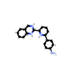 Nc1ccc(-c2cccc(-c3ncc4ccccc4n3)n2)cc1